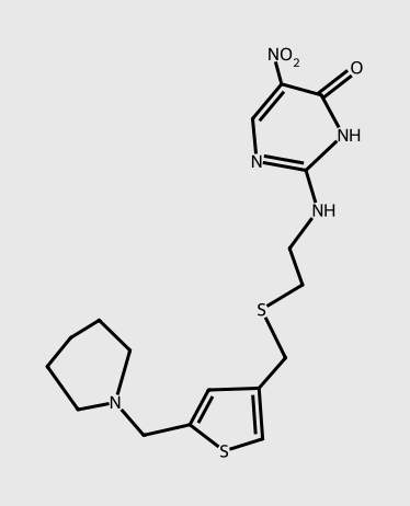 O=c1[nH]c(NCCSCc2csc(CN3CCCCC3)c2)ncc1[N+](=O)[O-]